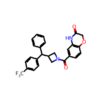 O=C1COc2ccc(C(=O)N3CC(C(c4ccccc4)c4ccc(C(F)(F)F)cc4)C3)cc2N1